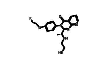 C[C@@H](NCCS)c1nc2ncccc2c(=O)n1-c1ccc(OCCF)cc1